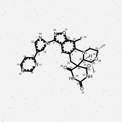 C[C@H]1CN2c3c(cc4c(-n5cc(-c6ccncn6)cn5)noc4c3F)CC3(C(=O)NC(=O)NC3=O)[C@@H]2[C@@H](C)O1